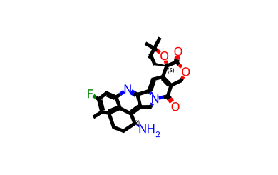 CC[C@@]1(OC(C)(C)C)C(=O)OCc2c1cc1n(c2=O)Cc2c-1nc1cc(F)c(C)c3c1c2[C@H](N)CC3